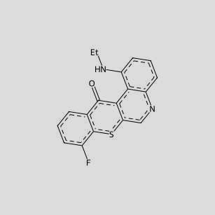 CCNc1cccc2ncc3sc4c(F)cccc4c(=O)c3c12